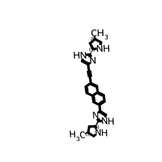 C[C@@H]1CN[C@H](c2nc(-c3ccc4cc(C#Cc5c[nH]c([C@@H]6C[C@@H](C)CN6)n5)ccc4c3)c[nH]2)C1